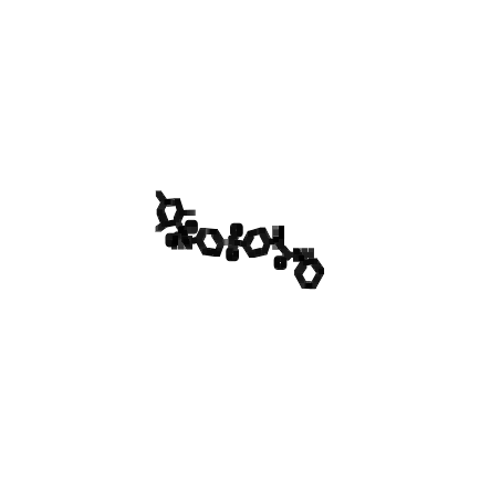 Cc1cc(C)c(S(=O)(=O)Nc2ccc(S(=O)(=O)c3ccc(NC(=O)Nc4ccccc4)cc3)cc2)c(C)c1